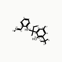 CCC(C)(Pc1ccccc1/C=N/C)c1cc(C)cc(C(C)(C)C)c1O